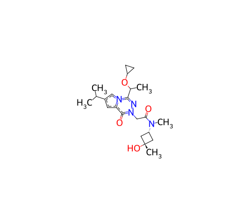 CC(C)c1cc2c(=O)n(CC(=O)N(C)[C@H]3C[C@@](C)(O)C3)nc(C(C)OC3CC3)n2c1